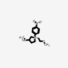 CNC1CC[N@+](CCOC)(c2ccc([N+](=O)[O-])cc2)C1